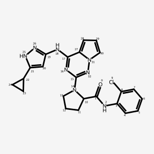 O=C(Nc1ccccc1Cl)C1CCCN1c1nc(Nc2cc(C3CC3)[nH]n2)c2cccn2n1